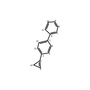 C1=C(c2ccc(-c3ccccc3)cc2)C1